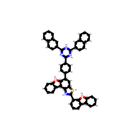 c1ccc2cc(-c3nc(-c4ccc(-c5cc6sc(-c7cccc8c7oc7ccccc78)nc6c6c5oc5ccccc56)cc4)nc(-c4ccc5ccccc5c4)n3)ccc2c1